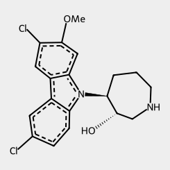 COc1cc2c(cc1Cl)c1cc(Cl)ccc1n2[C@H]1CCCNC[C@@H]1O